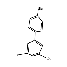 CC(C)(C)c1ccc(-c2cc(Br)cc(C(C)(C)C)c2)cc1